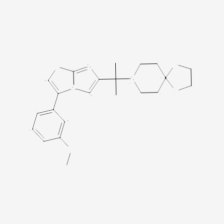 COc1cccc(-c2csc3nc(C(C)(C)N4CCC5(CC4)OCCO5)cn23)c1.Cl